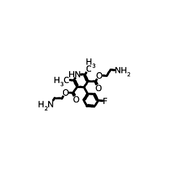 CC1=C(C(=O)OCCN)C(c2cccc(F)c2)C(C(=O)OCCN)=C(C)N1